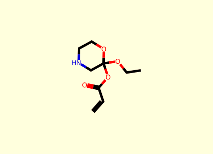 C=CC(=O)OC1(OCC)CNCCO1